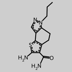 CCCn1ncc2c1CCc1c-2sc(N)c1C(N)=O